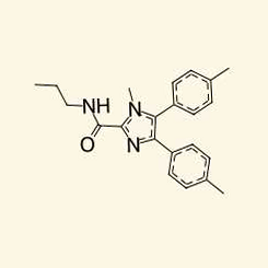 CCCNC(=O)c1nc(-c2ccc(C)cc2)c(-c2ccc(C)cc2)n1C